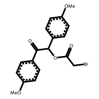 COc1ccc(C(=O)C(OC(=O)CBr)c2ccc(OC)cc2)cc1